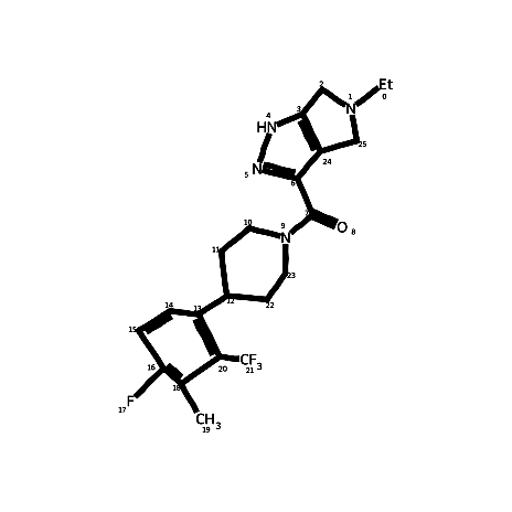 CCN1Cc2[nH]nc(C(=O)N3CCC(c4ccc(F)c(C)c4C(F)(F)F)CC3)c2C1